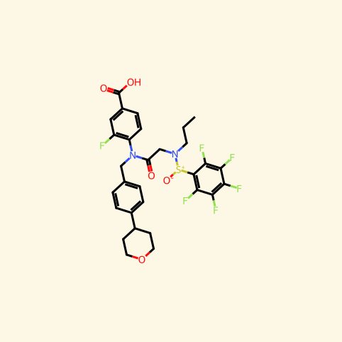 CCCN(CC(=O)N(Cc1ccc(C2CCOCC2)cc1)c1ccc(C(=O)O)cc1F)[S+]([O-])c1c(F)c(F)c(F)c(F)c1F